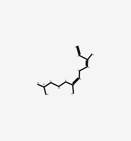 C=C/C(C)=C\C/C=C(/C)CCCC(C)C